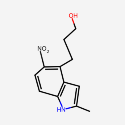 Cc1cc2c(CCCO)c([N+](=O)[O-])ccc2[nH]1